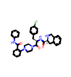 O=C(Nc1ccccc1)c1ccccc1N1CCN(C(=O)[C@@H](Cc2ccc(Cl)cc2)NC(=O)[C@@H]2Cc3ccccc3CN2)CC1